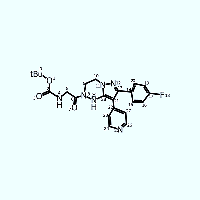 CC(C)(C)OC(=O)NCC(=O)N1CCn2nc(-c3ccc(F)cc3)c(-c3ccncc3)c2N1